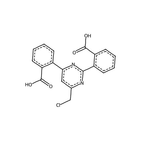 O=C(O)c1ccccc1-c1cc(CCl)nc(-c2ccccc2C(=O)O)n1